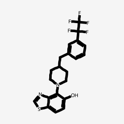 Oc1ccc2scnc2c1N1CCC(Cc2cccc(C(F)(F)C(F)(F)F)c2)CC1